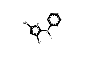 N#Cc1cc(C#N)c([S+]([O-])c2ccccc2)s1